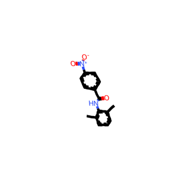 Cc1cccc(C)c1NC(=O)c1ccc([N+](=O)[O-])cc1